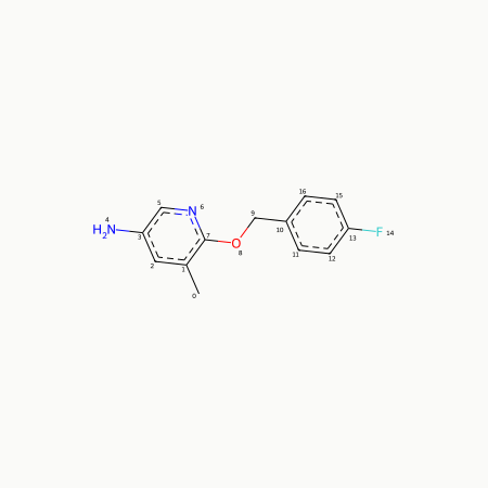 Cc1cc(N)cnc1OCc1ccc(F)cc1